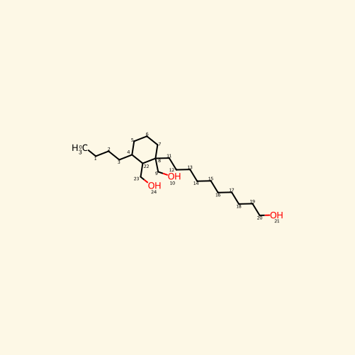 CCCCC1CCCC(CO)(CCCCCCCCCCO)C1CO